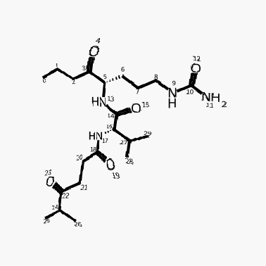 CCCC(=O)[C@H](CCCNC(N)=O)NC(=O)[C@@H](NC(=O)CCC(=O)C(C)C)C(C)C